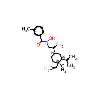 C=C[C@]1(C)CC[C@@H](C(=C)CN(O)C(=O)c2cccc(C)c2)C[C@H]1C(=C)C